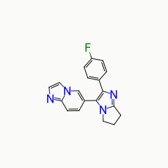 Fc1ccc(-c2nc3n(c2-c2ccc4nccn4c2)CCC3)cc1